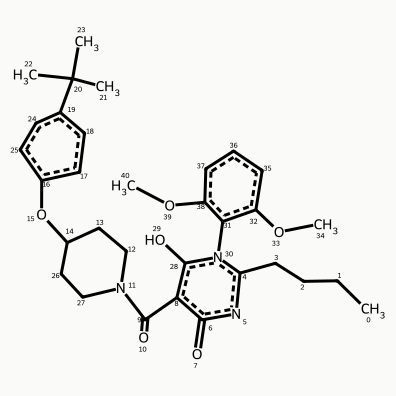 CCCCc1nc(=O)c(C(=O)N2CCC(Oc3ccc(C(C)(C)C)cc3)CC2)c(O)n1-c1c(OC)cccc1OC